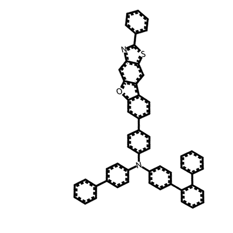 c1ccc(-c2ccc(N(c3ccc(-c4ccc5c(c4)oc4cc6nc(-c7ccccc7)sc6cc45)cc3)c3ccc(-c4ccccc4-c4ccccc4)cc3)cc2)cc1